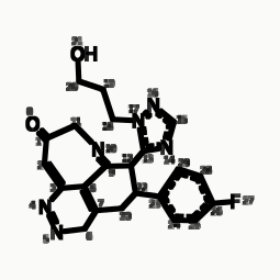 O=C1C=C2N=NCC3=C2C(=NC1)C(c1ncnn1CCCO)C(c1ccc(F)cc1)C3